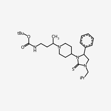 CC(C)CN1CC(c2ccccc2)N(C2CCN(C(C)CCNC(=O)OC(C)(C)C)CC2)C1=S